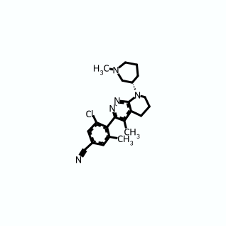 Cc1cc(C#N)cc(Cl)c1-c1nnc2c(c1C)CCCN2[C@H]1CCCN(C)C1